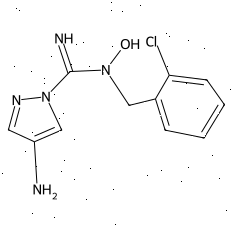 N=C(N(O)Cc1ccccc1Cl)n1cc(N)cn1